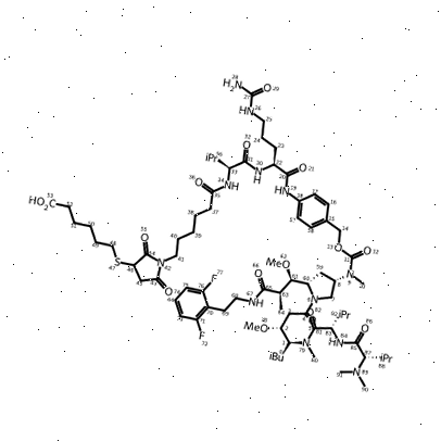 CC[C@H](C)[C@@H]([C@@H](CC(=O)N1C[C@@H](N(C)C(=O)OCc2ccc(NC(=O)[C@H](CCCNC(N)=O)NC(=O)[C@@H](NC(=O)CCCCCN3C(=O)CC(SCCCCCC(=O)O)C3=O)C(C)C)cc2)C[C@H]1[C@H](OC)[C@@H](C)C(=O)NCCc1c(F)cccc1F)OC)N(C)C(=O)[C@@H](NC(=O)[C@H](C(C)C)N(C)C)C(C)C